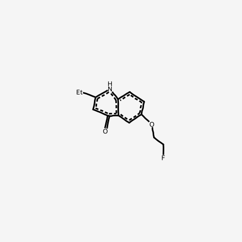 CCc1cc(=O)c2cc(OCCF)ccc2[nH]1